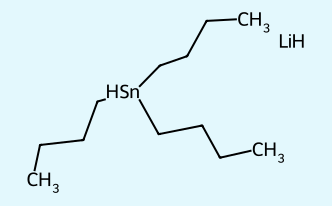 CCC[CH2][SnH]([CH2]CCC)[CH2]CCC.[LiH]